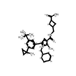 Cc1c(C(=O)NCC2CC(C(=O)O)C2)cc(-c2cc(C(C)(C)O)cc(C3(C)CC3)c2)n1CC1CCCCC1